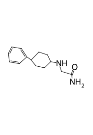 NC(=O)CNC1CCC(c2ccccc2)CC1